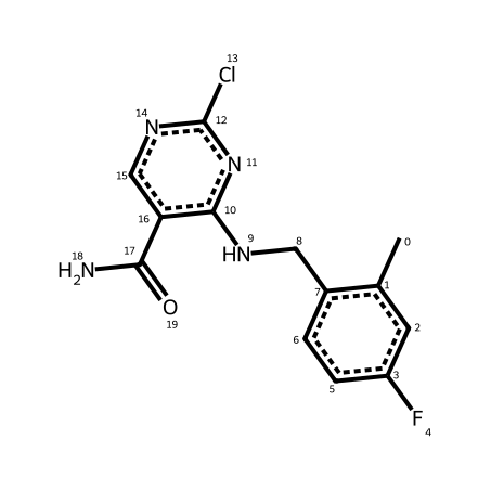 Cc1cc(F)ccc1CNc1nc(Cl)ncc1C(N)=O